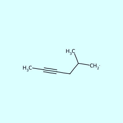 [CH2]C(C)CC#CC